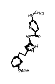 COc1cccc(CCc2cc(NC(=O)c3ccc(NC=O)cn3)[nH]n2)c1